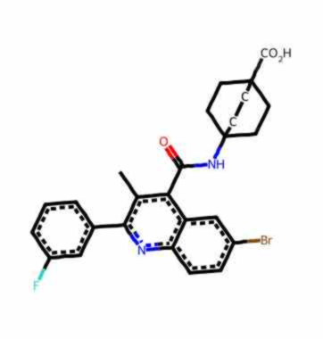 Cc1c(-c2cccc(F)c2)nc2ccc(Br)cc2c1C(=O)NC12CCC(C(=O)O)(CC1)CC2